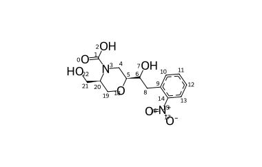 O=C(O)N1C[C@@H](C(O)Cc2ccccc2[N+](=O)[O-])OC[C@H]1CO